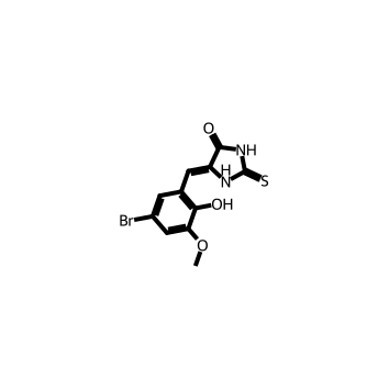 COc1cc(Br)cc(/C=C2\NC(=S)NC2=O)c1O